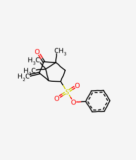 C=C1C(=O)C2(C)CC(S(=O)(=O)Oc3ccccc3)C1C2(C)C